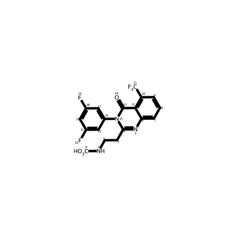 O=C(O)NCCc1nc2cccc(C(F)(F)F)c2c(=O)n1-c1cc(F)cc(F)c1